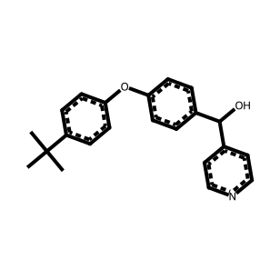 CC(C)(C)c1ccc(Oc2ccc(C(O)c3ccncc3)cc2)cc1